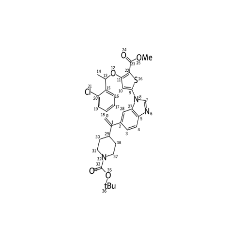 C=C(c1ccc2ncn(-c3cc(OC(C)c4ccccc4Cl)c(C(=O)OC)s3)c2c1)C1CCN(C(=O)OC(C)(C)C)CC1